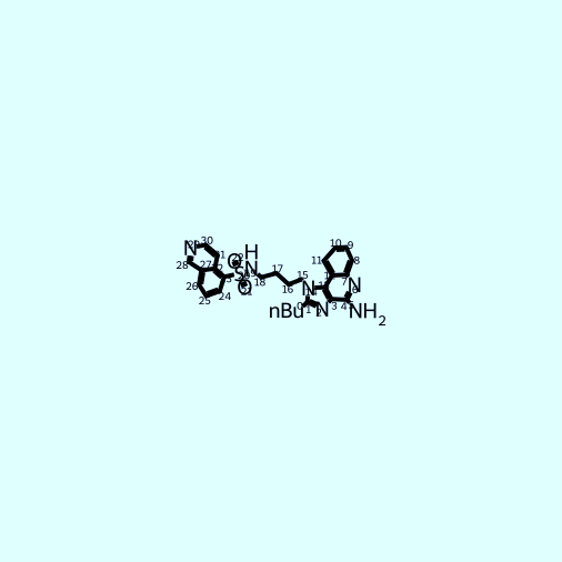 CCCCc1nc2c(N)nc3ccccc3c2n1CCCCNS(=O)(=O)c1cccc2cnccc12